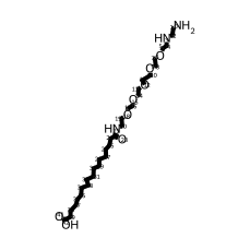 NCCNCCOCCOCCOCCOCCOCCNC(=O)CCCCCCCCCCCCCCCCC(=O)O